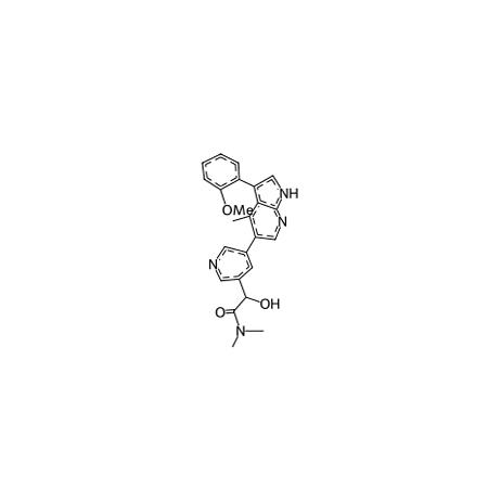 COc1ccccc1-c1c[nH]c2ncc(-c3cncc(C(O)C(=O)N(C)C)c3)c(C)c12